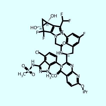 CC(C)Oc1ccc2c(=O)n(-c3ccc(Cl)c4c(NS(C)(=O)=O)nn(C)c34)c([C@H](Cc3cc(F)cc(F)c3)NC(=O)Cn3nc(C(F)F)c4c3C(F)(F)[C@@]3(O)C[C@@]43O)nc2n1